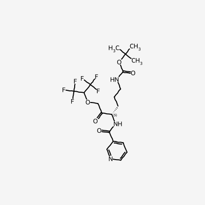 CC(C)(C)OC(=O)NCCC[C@H](NC(=O)c1cccnc1)C(=O)COC(C(F)(F)F)C(F)(F)F